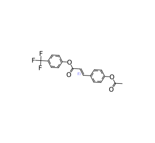 CC(=O)Oc1ccc(/C=C/C(=O)Oc2ccc(C(F)(F)F)cc2)cc1